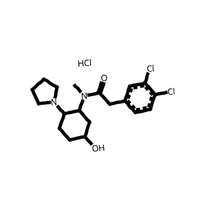 CN(C(=O)Cc1ccc(Cl)c(Cl)c1)C1CC(O)CCC1N1CCCC1.Cl